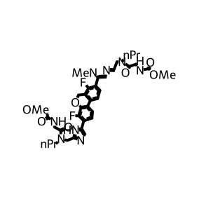 CCCN(C/C=N/C=C(\NC)c1ccc2c(c1F)COc1c-2ccc(-c2cnc(CN(CCC)C(=O)CNC(=O)OC)[nH]2)c1F)C(=O)CNC(=O)OC